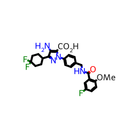 COc1ccc(F)cc1C(=O)NCc1ccc(-n2nc(C3CCC(F)(F)CC3)c(N)c2C(=O)O)cc1